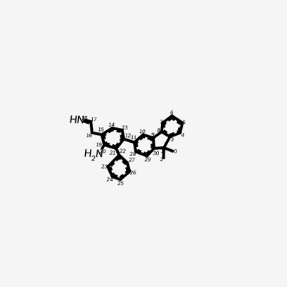 CC1(C)c2ccccc2-c2cc(-c3ccc(CC=N)c(N)c3-c3ccccc3)ccc21